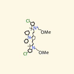 COCCCN1/C(=C/C=C2\CCC(/C=C/C3=[N+](CCCOC)c4ccc(Cl)cc4C3(C)C)=C2N(c2ccccc2)c2ccccc2)C(C)(C)c2cc(Cl)ccc21